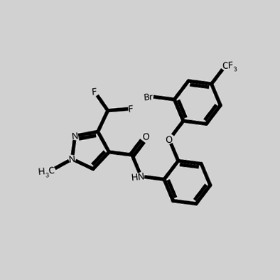 Cn1cc(C(=O)Nc2ccccc2Oc2ccc(C(F)(F)F)cc2Br)c(C(F)F)n1